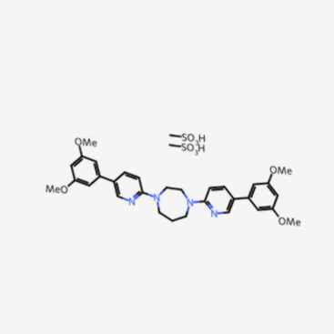 COc1cc(OC)cc(-c2ccc(N3CCCN(c4ccc(-c5cc(OC)cc(OC)c5)cn4)CC3)nc2)c1.CS(=O)(=O)O.CS(=O)(=O)O